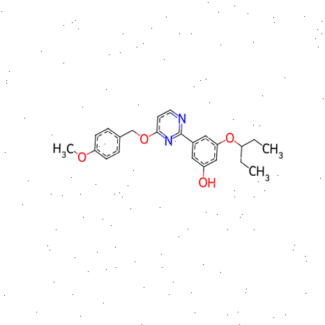 CCC(CC)Oc1cc(O)cc(-c2nccc(OCc3ccc(OC)cc3)n2)c1